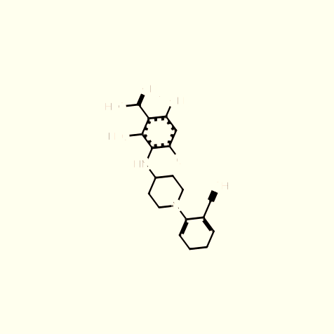 C#CC1=CCCC=C1N1CCC(Nc2c(C)cc(C)c(C(=C)C)c2C)CC1